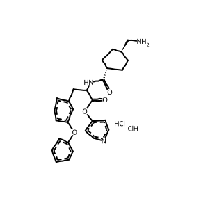 Cl.Cl.NC[C@H]1CC[C@H](C(=O)NC(Cc2cccc(Oc3ccccc3)c2)C(=O)Oc2ccncc2)CC1